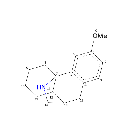 COc1ccc2c(c1)C13CCCCC1C(CN3)C2